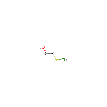 O=[C]CSCl